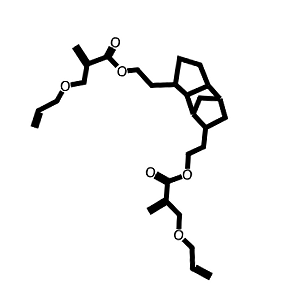 C=CCOCC(=C)C(=O)OCCC1CC2CC1C1C(CCOC(=O)C(=C)COCC=C)CCC21